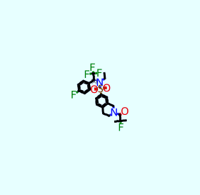 CCN([C@H](c1ccc(F)cc1)C(F)(F)F)S(=O)(=O)c1ccc2c(c1)CN(C(=O)C(C)(C)F)CC2